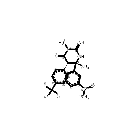 CN1C(=N)N[C@](C)(c2cccc([S+](C)[O-])c2)[C@H](c2ccc(C(F)(F)F)cc2)C1=O